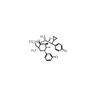 CN(C)S(=O)(=O)[C@](C[C@@H]1NC(=O)[C@](C)(CC(=O)O)C[C@@H]1c1cccc(Cl)c1)(c1ccc(Cl)cc1)C1CC1